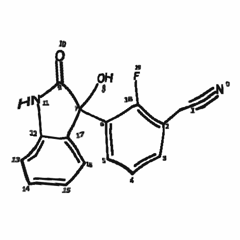 N#Cc1cccc(C2(O)C(=O)Nc3ccccc32)c1F